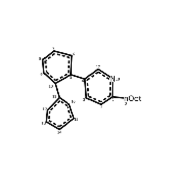 CCCCCCCCc1ccc(-c2ccccc2-c2ccccc2)cn1